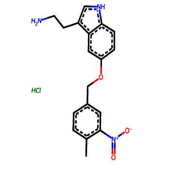 Cc1ccc(COc2ccc3[nH]cc(CCN)c3c2)cc1[N+](=O)[O-].Cl